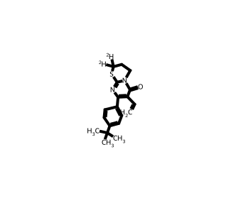 [2H]C1([2H])CCn2c(nc(-c3ccc(C(C)(C)C)cc3)c(C=C)c2=O)S1